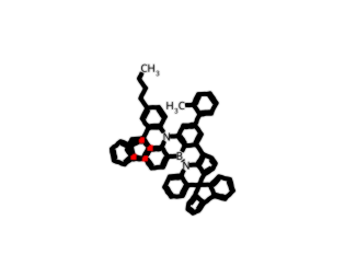 CCCCc1ccc(N2c3cc(-c4ccccc4C)cc4c3B(c3ccc5c(sc6ccccc65)c32)N2c3ccccc3C3(c5ccccc5-c5ccccc53)c3cccc-4c32)c(-c2ccccc2)c1